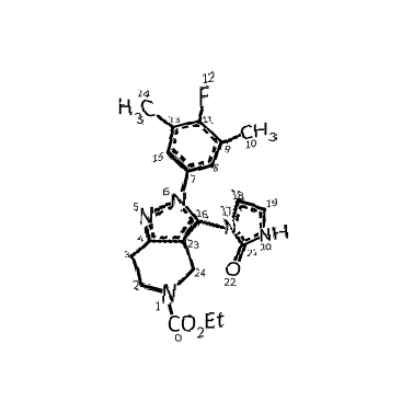 CCOC(=O)N1CCc2nn(-c3cc(C)c(F)c(C)c3)c(-n3cc[nH]c3=O)c2C1